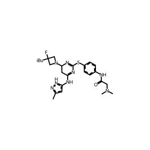 CCC(C)C1(F)CN(C2CC(Nc3cc(C)n[nH]3)=NC(Sc3ccc(NC(=O)CN(C)C)cc3)=N2)C1